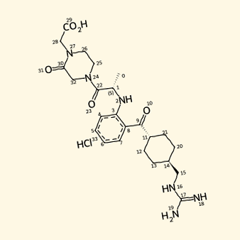 C[C@H](Nc1ccccc1C(=O)[C@H]1CC[C@H](CNC(=N)N)CC1)C(=O)N1CCN(CC(=O)O)C(=O)C1.Cl